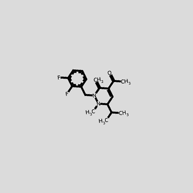 C=C1C(C(C)=O)=CC(C(C)C)N(C)N1Cc1cccc(F)c1F